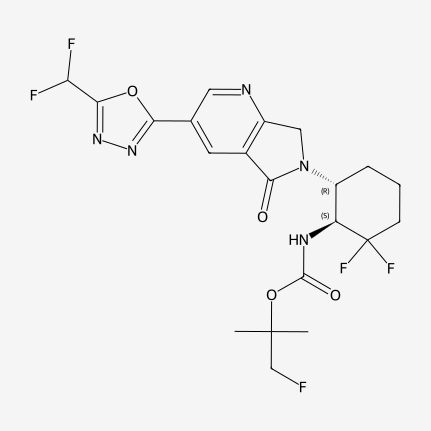 CC(C)(CF)OC(=O)N[C@H]1[C@H](N2Cc3ncc(-c4nnc(C(F)F)o4)cc3C2=O)CCCC1(F)F